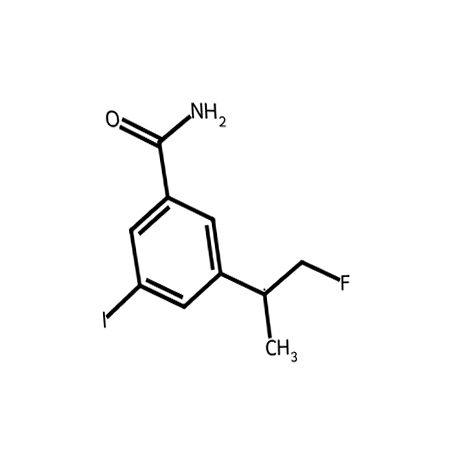 C[C](CF)c1cc(I)cc(C(N)=O)c1